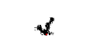 CC(C)Oc1cccc2c(C(=O)NCc3ccc(Cl)c(Cl)c3)cn(CCCN3CCCN(CCCOc4ccccc4)CC3)c12